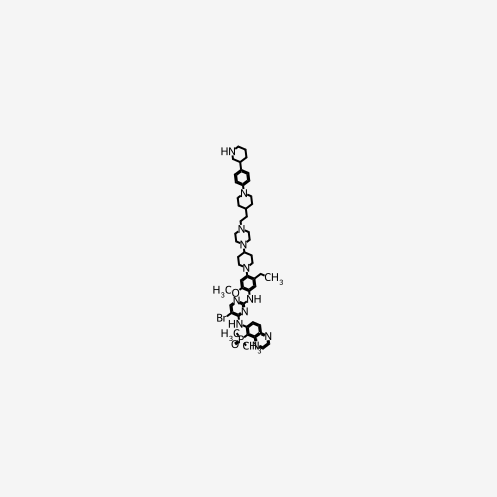 CCc1cc(Nc2ncc(Br)c(Nc3ccc4nccnc4c3P(C)(C)=O)n2)c(OC)cc1N1CCC(N2CCN(CCC3CCN(c4ccc(C5CCCNC5)cc4)CC3)CC2)CC1